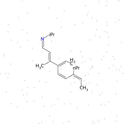 C\C=C(/C=C\C(=C/C)C(\C)=C\C=N/C(C)C)CCC